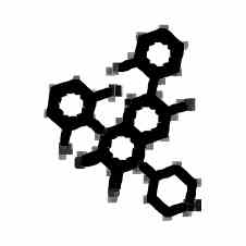 CCc1cccc(CC)c1-n1c(=O)c(=O)n(C2CCNCC2)c2cc(Cl)c(-c3ccccc3F)nc21